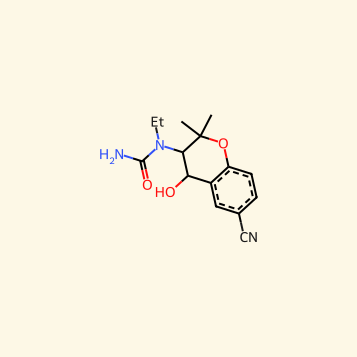 CCN(C(N)=O)C1C(O)c2cc(C#N)ccc2OC1(C)C